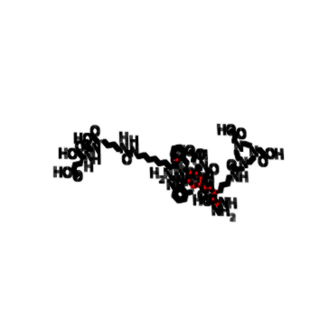 N=C(N)NCCC[C@H](NC(=O)[C@H](CC(=O)O)NC(=O)[C@H](CCCNC(=N)N)NC(=O)[C@H](Cc1ccccc1)NC(=O)[C@H](Cc1ccccc1)NC(=O)CCCCCCCNC(=O)NCCCC[C@H](NC(=O)N[C@@H](CCC(=O)O)C(=O)O)C(=O)O)C(=O)N[C@@H](CCCCNC(=O)CN1CCN(CC(=O)O)CCN(CC(=O)O)CC1)C(=O)O